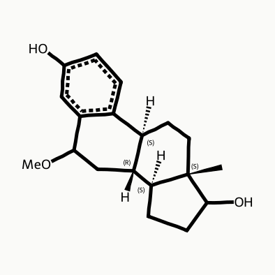 COC1C[C@@H]2[C@H](CC[C@]3(C)C(O)CC[C@@H]23)c2ccc(O)cc21